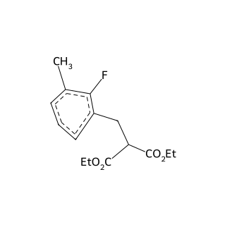 CCOC(=O)C(Cc1cccc(C)c1F)C(=O)OCC